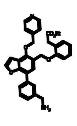 CCOC(=O)Cc1ccccc1OCc1cc(-c2cccc(CN)c2)c2occc2c1OCc1ccncc1